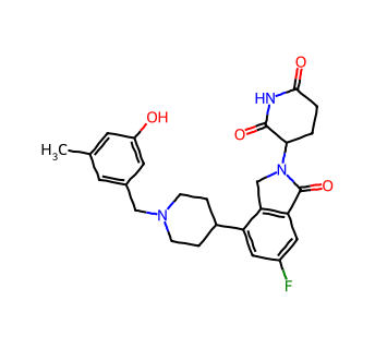 Cc1cc(O)cc(CN2CCC(c3cc(F)cc4c3CN(C3CCC(=O)NC3=O)C4=O)CC2)c1